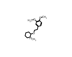 COc1ccc(CCOC2CCCC[C@@H]2C)cc1OC